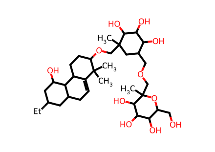 CCC1CC(O)C2C(CC=C3C2CCC(OCC2(C)CC(COCC4(C)OC(CO)C(O)C(O)C4O)C(O)C(O)C2O)C3(C)C)C1